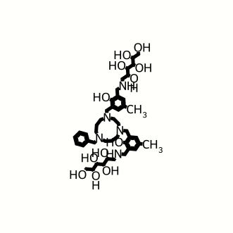 Cc1cc(CNCC(O)C(O)C(O)C(O)CO)c(O)c(CN2CCCN(Cc3ccccc3)CCCN(Cc3cc(C)cc(CNCC(O)C(O)C(O)C(O)CO)c3O)CC2)c1